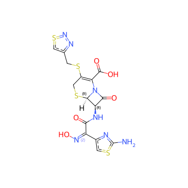 Nc1nc(/C(=N/O)C(=O)N[C@@H]2C(=O)N3C(C(=O)O)=C(SCc4csnn4)CS[C@H]23)cs1